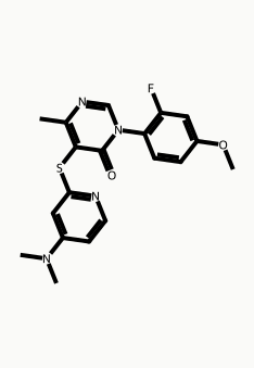 COc1ccc(-n2cnc(C)c(Sc3cc(N(C)C)ccn3)c2=O)c(F)c1